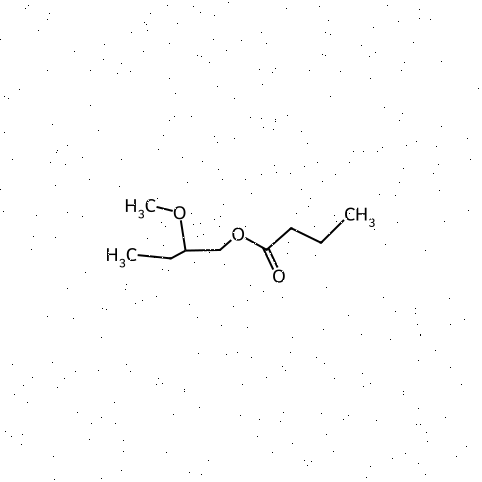 CCCC(=O)OCC(CC)OC